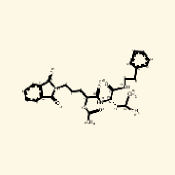 CC(=O)SC(CCCN1C(=O)c2ccccc2C1=O)C(=O)N[C@@H](CC(C)C)C(=O)NCCc1ccccc1